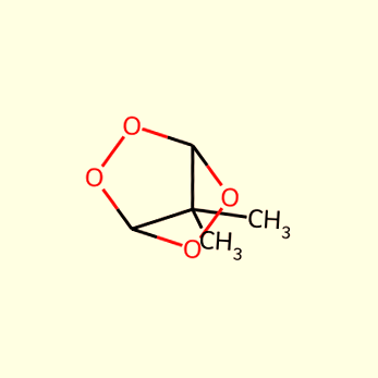 CC1(C)C2OOC1OO2